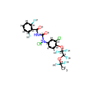 O=C(NC(=O)N(Cl)c1ccc(OC(F)(F)C(F)OC(F)(F)C(F)(F)F)c(Cl)c1)c1c(F)cccc1F